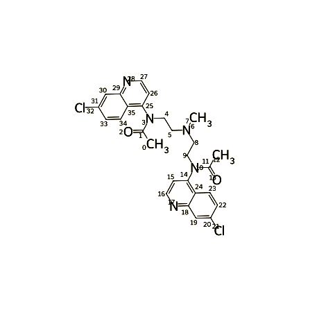 CC(=O)N(CCN(C)CCN(C(C)=O)c1ccnc2cc(Cl)ccc12)c1ccnc2cc(Cl)ccc12